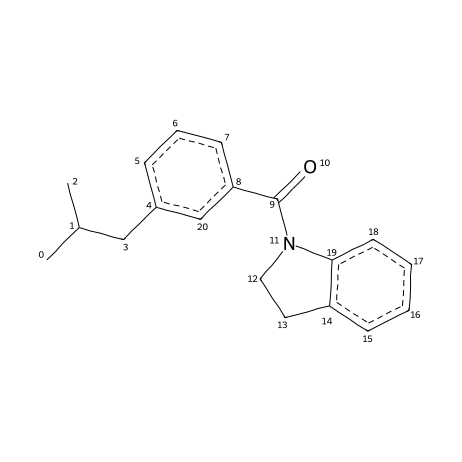 CC(C)Cc1cccc(C(=O)N2CCc3ccccc32)c1